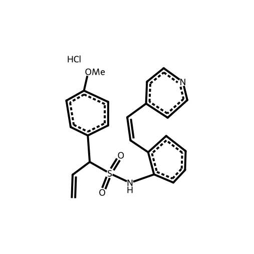 C=CC(c1ccc(OC)cc1)S(=O)(=O)Nc1ccccc1C=Cc1ccncc1.Cl